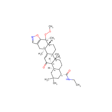 CCNC(=O)[C@@H]1CC(C)(C)C[C@@H]2C1CC[C@]1(C)[C@@H]2C(=O)C=C2[C@@]3(C)Cc4cnoc4[C@@](C)(OOC)[C@@H]3CC[C@]21C